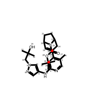 Cc1cnc(Nc2cnn(CC(C)(C)O)c2)nc1C1=CC2CCC(C1)N2C(=O)OC(C)(C)C